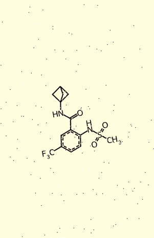 CS(=O)(=O)Nc1ccc(C(F)(F)F)cc1C(=O)NC12CC(C1)C2